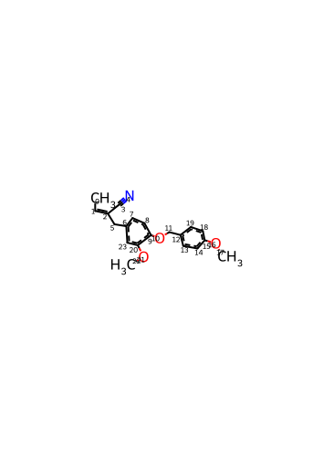 C/C=C(\C#N)Cc1ccc(OCc2ccc(OC)cc2)c(OC)c1